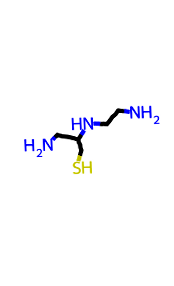 NCCNC(CN)CS